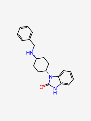 O=c1[nH]c2ccccc2n1[C@H]1CC[C@H](NCc2ccccc2)CC1